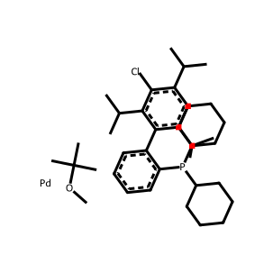 CC(C)c1cc(C(C)C)c(-c2ccccc2P(C2CCCCC2)C2CCCCC2)c(C(C)C)c1Cl.COC(C)(C)C.[Pd]